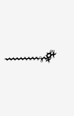 CCCCCCCCCCCCCCCCCCOC(=O)CCC1(C(C)(C)C)C=C(C(C)(C)C)C(O)=CC1